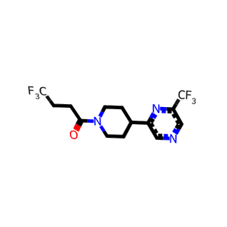 O=C(CCC(F)(F)F)N1CCC(c2cncc(C(F)(F)F)n2)CC1